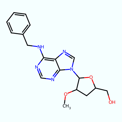 COC1CC(CO)OC1n1cnc2c(NCc3ccccc3)ncnc21